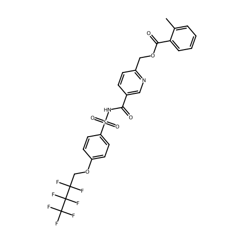 Cc1ccccc1C(=O)OCc1ccc(C(=O)NS(=O)(=O)c2ccc(OCC(F)(F)C(F)(F)C(F)(F)F)cc2)cn1